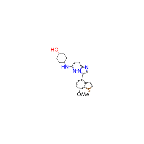 COc1ccc(-c2cnc3ccc(NC4CCC(O)CC4)nn23)c2ccsc12